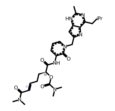 Cc1nc(CC(C)C)c2nc(Cn3cccc(NC(=O)[C@H](CC/C=C/C(=O)N(C)C)OC(=O)N(C)C)c3=O)cc-2[nH]1